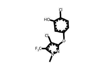 Cn1nc(Oc2ccc(Cl)c(O)c2)c(Cl)c1C(F)(F)F